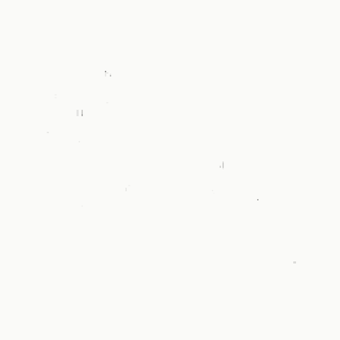 C[C@H]1OC[C@]2(c3cc(NC(=O)c4ccc(F)cn4)ccc3F)NC(=N)N(C)S(=O)(=O)[C@H]12